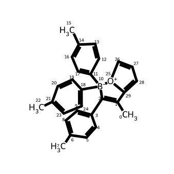 CC1=C(c2ccc(C)cc2)[B-](c2ccc(C)cc2)(c2ccc(C)cc2)[o+]2cccc21